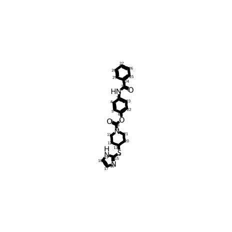 O=C(Nc1ccc(OC(=O)N2CCC(Sc3ncc[nH]3)CC2)cc1)c1ccccc1